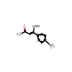 COC(=CC(=O)C(F)(F)F)c1ccc([N+](=O)[O-])cc1